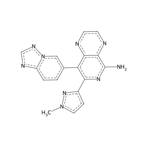 Cn1ccc(-c2nc(N)c3nccnc3c2-c2ccc3ncnn3c2)n1